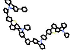 c1ccc(-c2ccc3c(c2)c2ccccc2n3-c2cccc(-c3ccc4c(c3)Sc3cc5c(c6cccc-4c36)c3ccc(-c4cccc(-c6ccc7c(c6)c6ccccc6n7-c6ccc(-c7ccc8c(c7)Sc7cc9c(c%10cccc-8c7%10)c7ccccc7n9-c7ccccc7)cc6)c4)cc3n5-c3ccccc3)c2)cc1